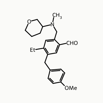 CCc1cc(CN(C)C2CCCOC2)c(C=O)cc1Cc1ccc(OC)cc1